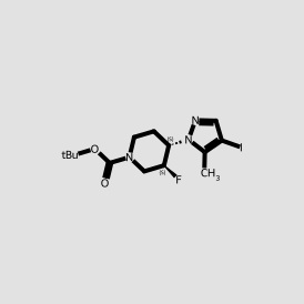 Cc1c(I)cnn1[C@H]1CCN(C(=O)OC(C)(C)C)C[C@@H]1F